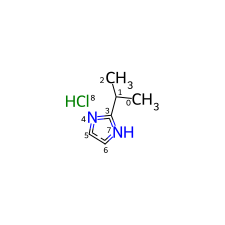 CC(C)c1ncc[nH]1.Cl